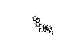 CC(C)(C)[Si](C)(C)OCCc1nccc2c(C=O)c(F)ccc12